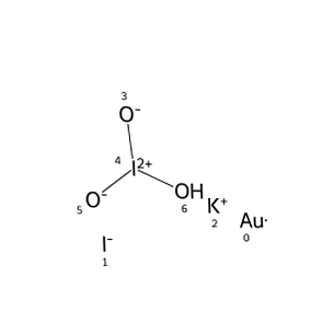 [Au].[I-].[K+].[O-][I+2]([O-])O